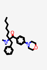 CCCCCCC(Cc1ccccc1)(C(=O)c1ccc(N2CCOCC2)cc1)N(C)C